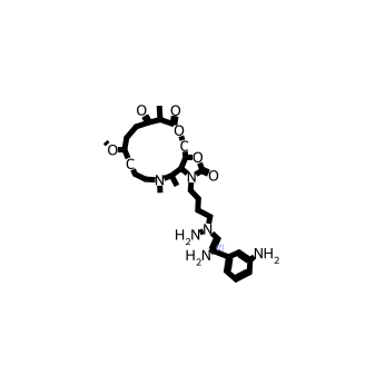 COC1CCCN(C)C(C)C2C(COC(=O)C(C)C(=O)CC1)OC(=O)N2CCCCN(N)/C=C(\N)c1cccc(N)c1